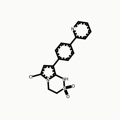 O=S1(=O)CCn2c(Cl)cc(-c3ccc(-c4ccccn4)cc3)c2N1